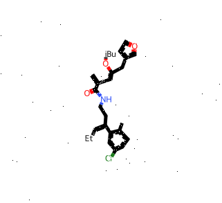 C=C(/C=C(/Cc1ccoc1)OC(C)CC)C(=O)NCC/C(=C/CC)c1cc(Cl)ccc1C